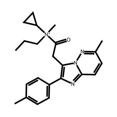 CCC[N+](C)(C(=O)Cc1c(-c2ccc(C)cc2)nc2ccc(C)nn12)C1CC1